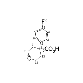 O=C(O)C1(c2ccc(F)cc2)CCOCC1